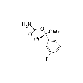 CCC[C@](OC)(OC(N)=O)c1cccc(I)c1